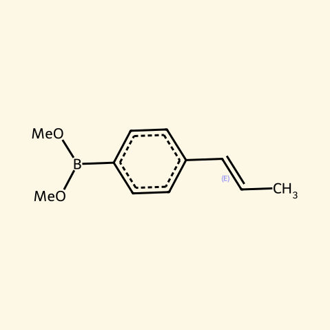 C/C=C/c1ccc(B(OC)OC)cc1